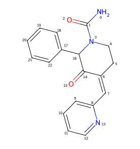 NC(=O)N1CC/C(=C/c2ccccn2)C(=O)C1c1ccccc1